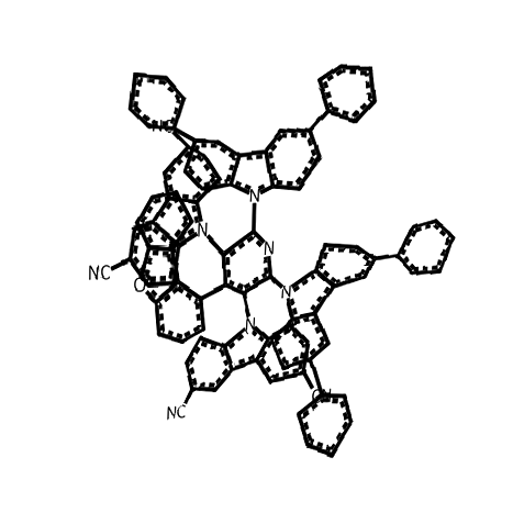 N#Cc1ccc2c(c1)c1cc(C#N)ccc1n2-c1c(-n2c3ccc(-c4ccccc4)cc3c3cc(-c4ccccc4)ccc32)nc(-n2c3ccc(-c4ccccc4)cc3c3cc(-c4ccccc4)ccc32)c(-n2c3ccc(C#N)cc3c3cc(C#N)ccc32)c1-c1cccc2oc3ccccc3c12